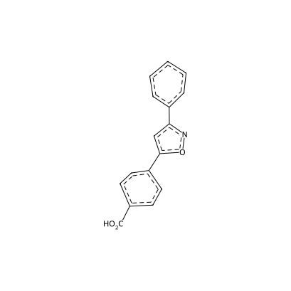 O=C(O)c1ccc(-c2cc(-c3ccccc3)no2)cc1